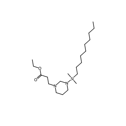 CCCCCCCCCC[Si](C)(C)N1CCCN(CCC(=O)OCC)C1